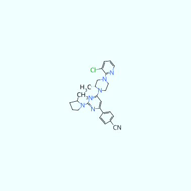 CC1CCCN1c1nc(-c2ccc(C#N)cc2)cc(N2CCN(c3ncccc3Cl)C[C@H]2C)n1